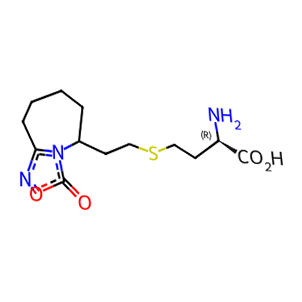 N[C@H](CCSCCC1CCCCc2noc(=O)n21)C(=O)O